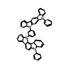 C1=CC2c3c(ccc4c5ccccc5n(-c5cccc(-n6c7ccccc7c7cc8c9ccccc9n(-c9ccccc9)c8cc76)c5)c34)N(c3ccccc3)C2C=C1